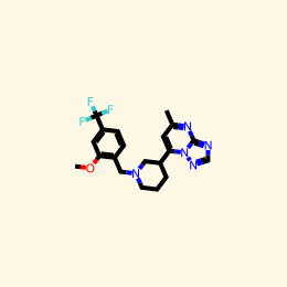 COc1cc(C(F)(F)F)ccc1CN1CCCC(c2cc(C)nc3ncnn23)C1